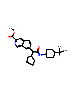 COC(=O)c1cc2ccc(C(C(=O)NC3CCC(C(C)(C)C)CC3)C3CCCC3)cc2cn1